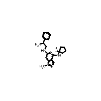 Cn1ncc2c(NC3(C)CCCC3)nc(NCC(N)c3ccccc3)nc21